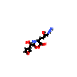 [N-]=[N+]=CC(=O)CC[C@H](NC(=O)[C@H](O)c1ccoc1)C(=O)O